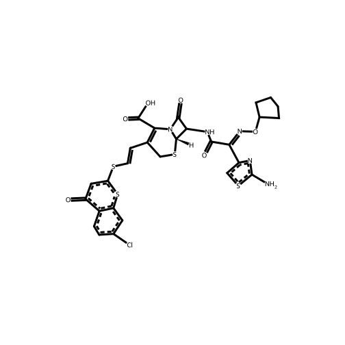 Nc1nc(C(=NOC2CCCC2)C(=O)NC2C(=O)N3C(C(=O)O)=C(C=CSc4cc(=O)c5ccc(Cl)cc5s4)CS[C@@H]23)cs1